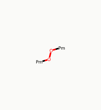 [Pm][O][O][Pm]